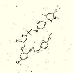 CC1CC(=O)NN=C1c1ccc(NCC(C)(C)NCC(O)COc2cc(Cl)ccc2C#N)cc1.CCOC(=O)/C=C\C(=O)O